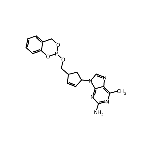 Cc1nc(N)nc2c1ncn2C1C=CC(COP2OCc3ccccc3O2)C1